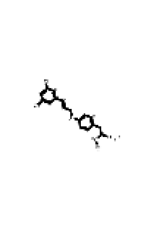 CCOC(=O)C(Cc1ccc(OC/C=C/c2cc(Cl)cc(Cl)c2)cc1)OCC